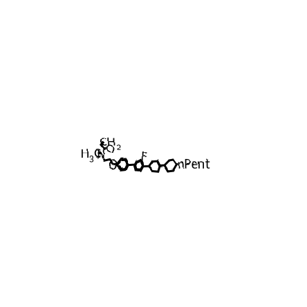 C=CC(=O)N(C)CCOc1ccc(-c2ccc(C3CCC(C4CCC(CCCCC)CC4)CC3)c(F)c2)cc1